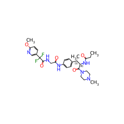 CCC(=O)N[C@@H](C(=O)N1CCN(C)CC1)[C@@H](C)c1ccc(NC(=O)CNC(=O)C(F)(F)c2ccc(OC)nc2)cc1